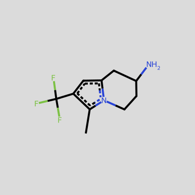 Cc1c(C(F)(F)F)cc2n1CCC(N)C2